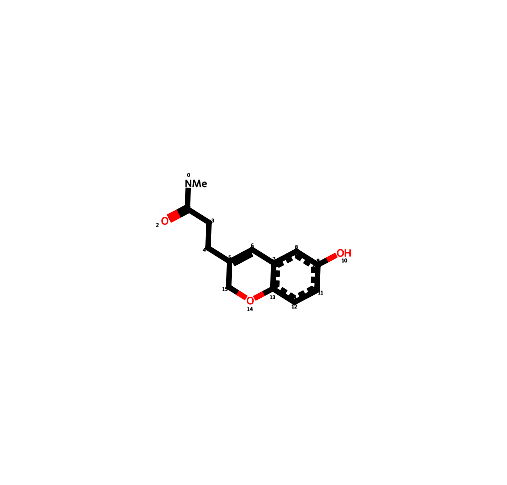 CNC(=O)CCC1=Cc2cc(O)ccc2OC1